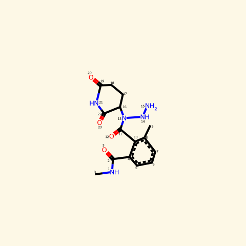 CNC(=O)c1cccc(C)c1C(=O)N(NN)C1CCC(=O)NC1=O